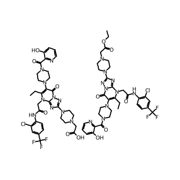 CCOC(=O)CN1CCN(c2nc3n(CC(=O)Nc4ccc(C(F)(F)F)cc4Cl)c(CC)c(N4CCN(C(=O)c5ncccc5O)CC4)c(=O)n3n2)CC1.CCc1c(N2CCN(C(=O)c3ncccc3O)CC2)c(=O)n2nc(N3CCN(CC(=O)O)CC3)nc2n1CC(=O)Nc1ccc(C(F)(F)F)cc1Cl